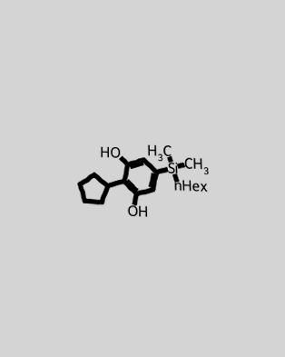 CCCCCC[Si](C)(C)c1cc(O)c(C2CCCC2)c(O)c1